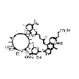 CCOC(=O)CC/C(C)=C/Cc1c(CC(=O)CCC(=O)O[C@@H]2C(N(C)C)C[C@@H](C)O[C@H]2O[C@@H]2[C@@H](C)[C@H](O[C@H]3C[C@@](C)(OC)[C@@H](O)[C@H](C)O3)[C@@H](C)C(=O)O[C@H](CC)[C@@](C)(O)[C@H](O)[C@@H](C)N(C)C[C@H](C)C[C@@]2(C)O)c2c(c(C)c1OC)COC2=O